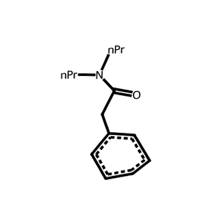 CCCN(CCC)C(=O)Cc1ccccc1